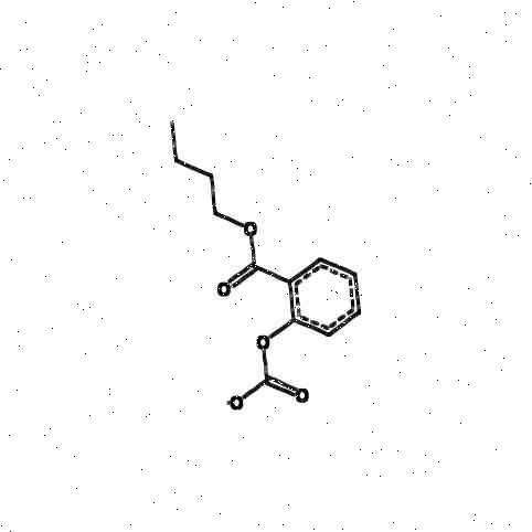 CCCCOC(=O)c1ccccc1OC([O])=O